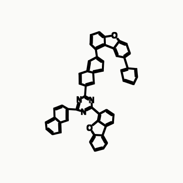 c1ccc(-c2ccc3oc4cccc(-c5ccc6cc(-c7nc(-c8ccc9ccccc9c8)nc(-c8cccc9c8oc8ccccc89)n7)ccc6c5)c4c3c2)cc1